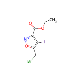 CCOC(=O)c1noc(CBr)c1I